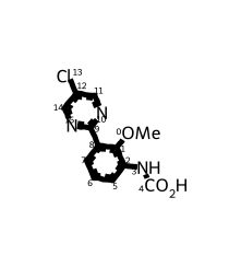 COc1c(NC(=O)O)cccc1-c1ncc(Cl)cn1